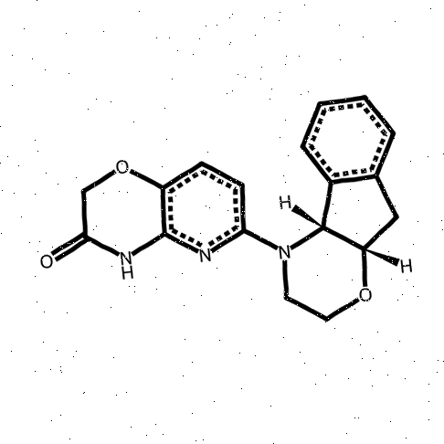 O=C1COc2ccc(N3CCO[C@H]4Cc5ccccc5[C@H]43)nc2N1